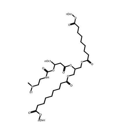 CCCCCCCCCCOC(=O)CCCCCCCC(=O)OCC(COC(=O)CCCCCCCC(=O)OCCCCCCCCCC)OC(=O)CC(CCCCCCCC)OC(=O)NCCN(C)CC